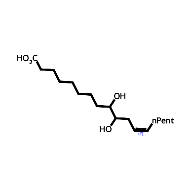 CCCCC/C=C\CC(O)C(O)CCCCCCCC(=O)O